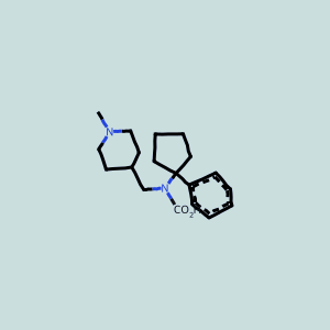 CN1CCC(CN(C(=O)O)C2(c3ccccc3)CCCC2)CC1